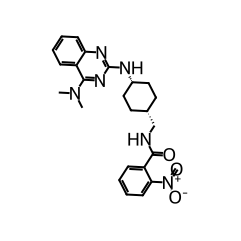 CN(C)c1nc(N[C@H]2CC[C@@H](CNC(=O)c3ccccc3[N+](=O)[O-])CC2)nc2ccccc12